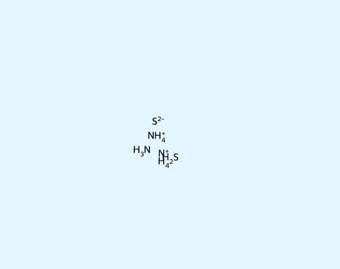 N.S.[NH4+].[NH4+].[S-2]